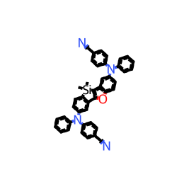 C[Si]1(C)c2ccc(N(c3ccccc3)c3ccc(C#N)cc3)cc2-c2oc3ccc(N(c4ccccc4)c4ccc(C#N)cc4)cc3c21